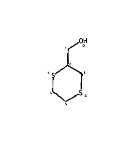 OCC1CSCCS1